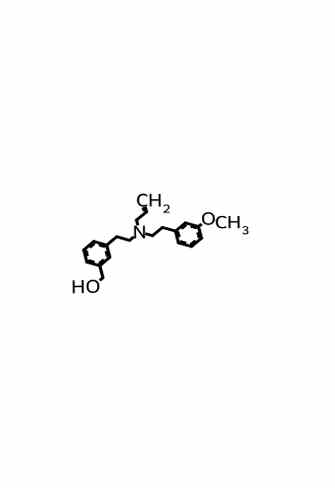 C=CCN(CCc1cccc(CO)c1)CCc1cccc(OC)c1